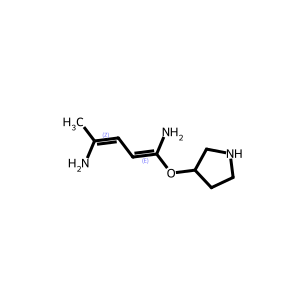 C/C(N)=C/C=C(\N)OC1CCNC1